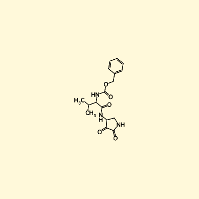 CC(C)C(NC(=O)OCc1ccccc1)C(=O)NC1CNC(=O)C1=O